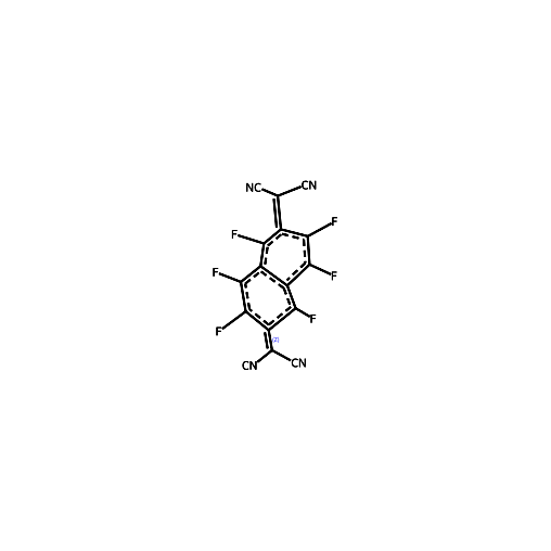 [C-]#[N+]/C(C#N)=c1\c(F)c(F)c2c(F)c(=C(C#N)C#N)c(F)c(F)c2c1F